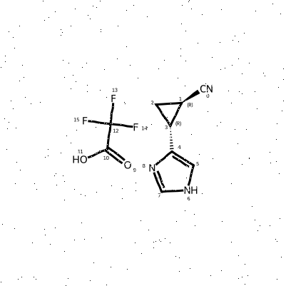 N#C[C@@H]1C[C@H]1c1c[nH]cn1.O=C(O)C(F)(F)F